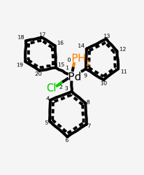 [PH2][Pd]([Cl])([c]1ccccc1)([c]1ccccc1)[c]1ccccc1